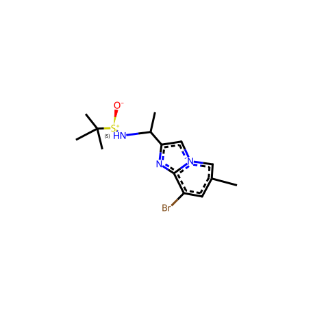 Cc1cc(Br)c2nc(C(C)N[S@+]([O-])C(C)(C)C)cn2c1